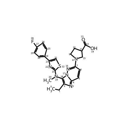 CCc1nc2ccc(N3CCC(C(=O)O)C3)nn2c1N(C)c1nc(-c2ccc(F)cc2)cs1